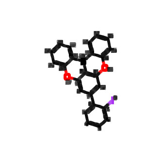 Ic1ccccc1-c1cc2c3c(c1)Oc1ccccc1B3c1ccccc1O2